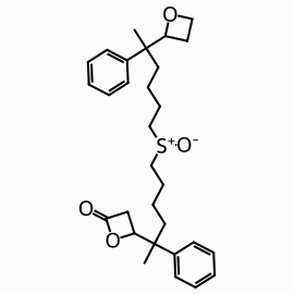 CC(CCCC[S+]([O-])CCCCC(C)(c1ccccc1)C1CC(=O)O1)(c1ccccc1)C1CCO1